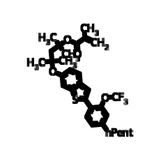 C=C(C)C(=O)OC(C)(C)CC(C)(C)Oc1ccc2cc(-c3ccc(CCCCC)cc3OC(F)(F)F)sc2c1